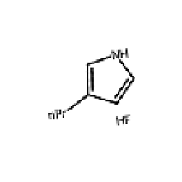 CCCc1cc[nH]c1.F